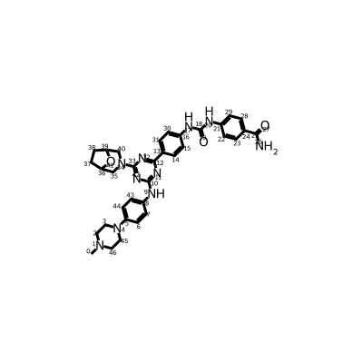 CN1CCN(c2ccc(Nc3nc(-c4ccc(NC(=O)Nc5ccc(C(N)=O)cc5)cc4)nc(N4CC5CCC(C4)O5)n3)cc2)CC1